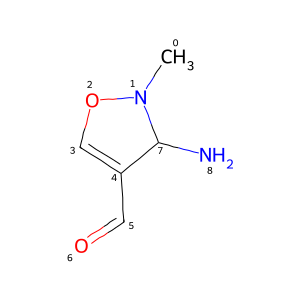 CN1OC=C(C=O)C1N